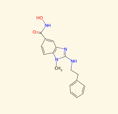 Cn1c(NCCc2ccccc2)nc2cc(C(=O)NO)ccc21